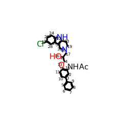 CC(=O)Nc1cc(-c2ccccc2)ccc1OCC(O)CN1CCc2[nH]c3ccc(Cl)cc3c2C1